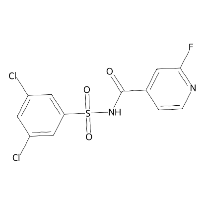 O=C(NS(=O)(=O)c1cc(Cl)cc(Cl)c1)c1ccnc(F)c1